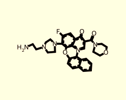 NCCN1CCN(c2c(F)cc3c(=O)c(C(=O)N4CCOCC4)cn4c3c2Oc2ccc3ccccc3c2-4)CC1